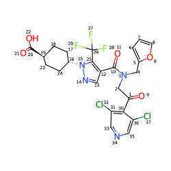 O=C(CN(Cc1ccco1)C(=O)c1cnn([C@H]2CC[C@H](C(=O)O)CC2)c1C(F)(F)F)c1c(Cl)cncc1Cl